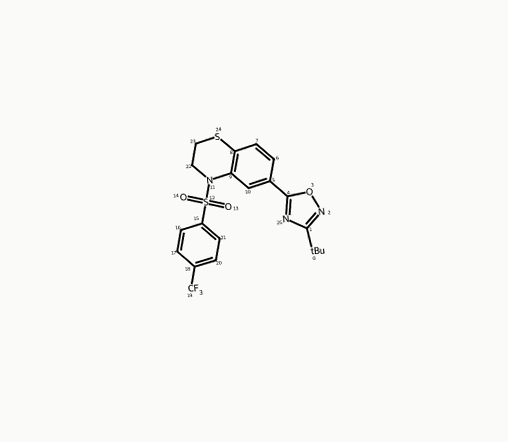 CC(C)(C)c1noc(-c2ccc3c(c2)N(S(=O)(=O)c2ccc(C(F)(F)F)cc2)CCS3)n1